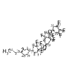 CCCc1ccc(-c2ccc(C(F)(F)Oc3cc(F)c(C(F)(F)Oc4cc(F)c(F)c(F)c4)c(F)c3)c(F)c2)cc1